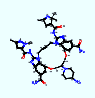 CCn1nc(C)cc1C(=O)Nc1nc2cc(C(N)=O)cc3c2n1C/C=C/Cn1c(NC(=O)C2=CC(C)=N[C@]2(C)CC)nc2cc(C(N)=O)cc(c21)OCC(N1CCC(N)CC1)CO3